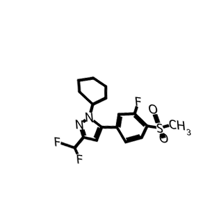 CS(=O)(=O)c1ccc(-c2cc(C(F)F)nn2C2CCCCC2)cc1F